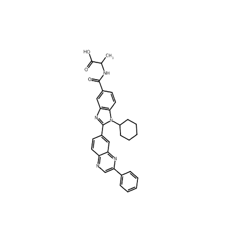 CC(NC(=O)c1ccc2c(c1)nc(-c1ccc3ncc(-c4ccccc4)nc3c1)n2C1CCCCC1)C(=O)O